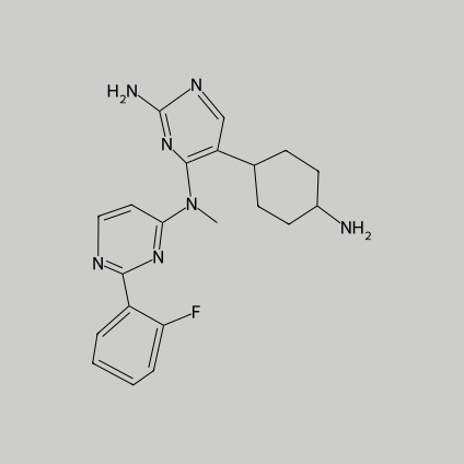 CN(c1ccnc(-c2ccccc2F)n1)c1nc(N)ncc1C1CCC(N)CC1